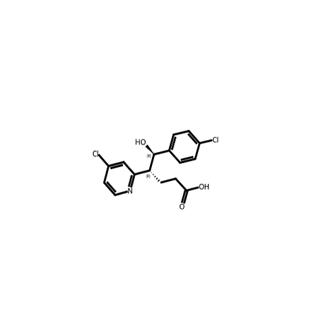 O=C(O)CC[C@H](c1cc(Cl)ccn1)[C@@H](O)c1ccc(Cl)cc1